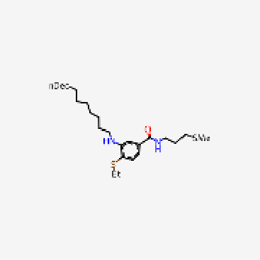 CCCCCCCCCCCCCCCCCNc1cc(C(=O)NCCCSC)ccc1SCC